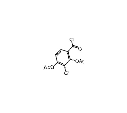 CC(=O)Oc1ccc(C(=O)Cl)c(OC(C)=O)c1Cl